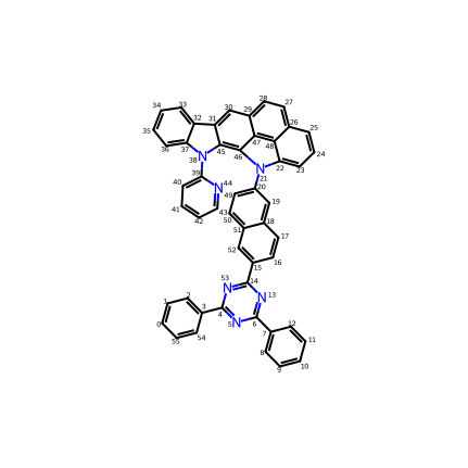 c1ccc(-c2nc(-c3ccccc3)nc(-c3ccc4cc(-n5c6cccc7ccc8cc9c%10ccccc%10n(-c%10ccccn%10)c9c5c8c76)ccc4c3)n2)cc1